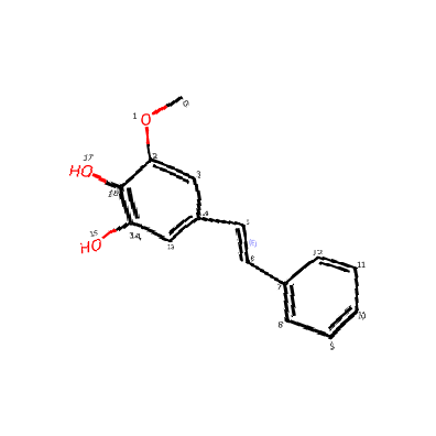 COc1cc(/C=C/c2ccccc2)cc(O)c1O